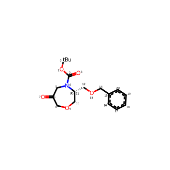 CC(C)(C)OC(=O)N1CC(=O)COC[C@H]1COCc1ccccc1